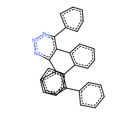 c1ccc(-c2ccccc2-c2ccccc2-c2c(-c3ccccc3)nnnc2-c2ccccc2)cc1